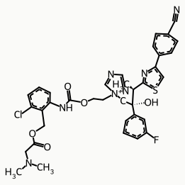 C[C@@H](c1nc(-c2ccc(C#N)cc2)cs1)[C@](O)(C[N+]1(CCOC(=O)Nc2cccc(Cl)c2COC(=O)CN(C)C)C=NC=N1)c1cccc(F)c1